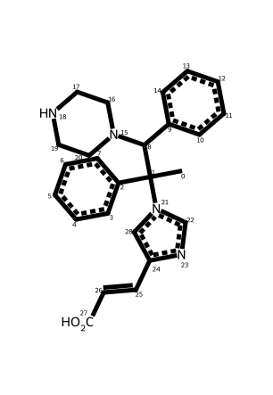 CC(c1ccccc1)(C(c1ccccc1)N1CCNCC1)n1cnc(C=CC(=O)O)c1